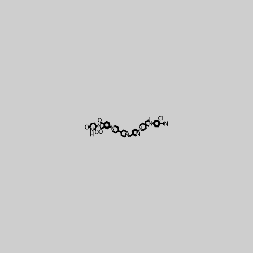 C[C@H]1CC2(CCN(c3ccc(CN4CCC(C5CCN(c6ccc7c(c6)C(=O)N(C6CCC(=O)NC6=O)C7=O)CC5)CC4)cn3)CC2)CN1c1ccc(C#N)c(Cl)c1